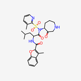 Cc1cccnc1S(=O)(=O)N(C(=O)C(CC(C)C)NC(=O)c1oc2ccccc2c1C)[C@H]1CCCNCC1=O